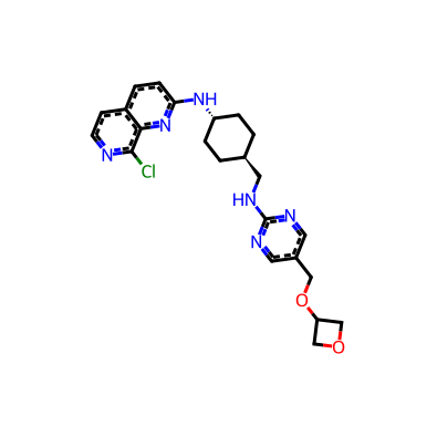 Clc1nccc2ccc(N[C@H]3CC[C@H](CNc4ncc(COC5COC5)cn4)CC3)nc12